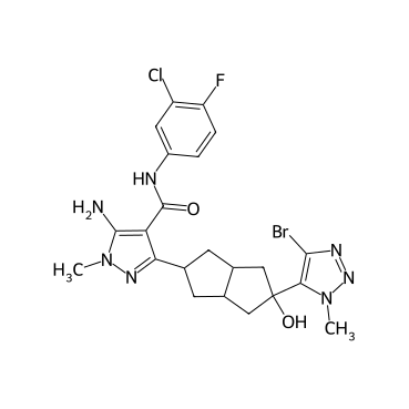 Cn1nc(C2CC3CC(O)(c4c(Br)nnn4C)CC3C2)c(C(=O)Nc2ccc(F)c(Cl)c2)c1N